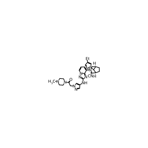 CCc1cnn([C@@]2(CC#N)[C@@H]3CC[C@H]2CN(c2cccn4nc(Nc5cnn(CC(=O)N6CCN(C)CC6)c5)nc24)C3)c1